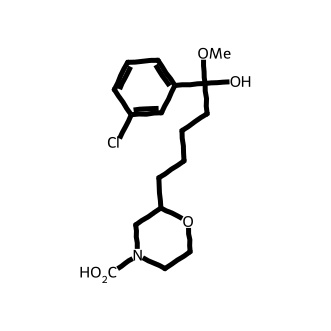 COC(O)(CCCCC1CN(C(=O)O)CCO1)c1cccc(Cl)c1